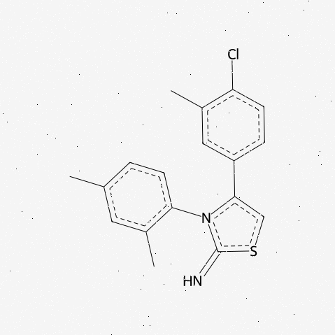 Cc1ccc(-n2c(-c3ccc(Cl)c(C)c3)csc2=N)c(C)c1